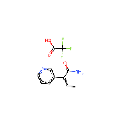 CC=C(C(N)=O)c1cccnc1.O=C(O)C(F)(F)F